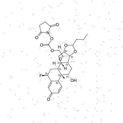 CCCC1O[C@@H]2C[C@H]3[C@@H]4C[C@H](F)C5=CC(=O)C=C[C@]5(C)[C@@]4(C)[C@@H](O)C[C@]3(C)[C@]2(C(=O)COC(=O)ON2C(=O)CCC2=O)O1